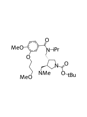 CNC[C@@H]1CN(C(=O)OC(C)(C)C)C[C@H]1CN(C(=O)c1ccc(OC)c(OCCCOC)c1)C(C)C